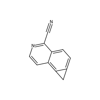 N#Cc1nccc2c3c(ccc12)C3